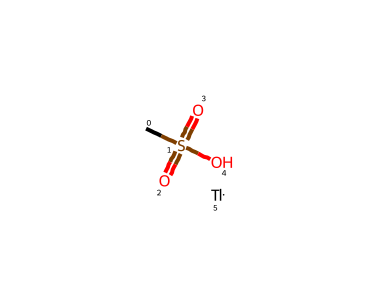 CS(=O)(=O)O.[Tl]